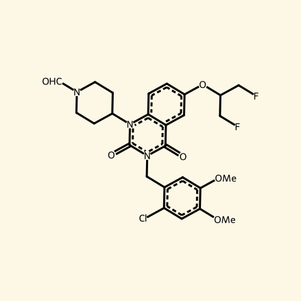 COc1cc(Cl)c(Cn2c(=O)c3cc(OC(CF)CF)ccc3n(C3CCN(C=O)CC3)c2=O)cc1OC